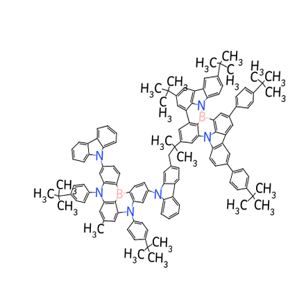 Cc1cc2c3c(c1)N(c1ccc(C(C)(C)C)cc1)c1cc(-n4c5ccccc5c5ccc(CC(C)(C)c6cc7c8c(c6)-n6c9ccc(-c%10ccc(C(C)(C)C)cc%10)cc9c9cc(-c%10ccc(C(C)(C)C)cc%10)cc(c96)B8n6c8ccc(C(C)(C)C)cc8c8cc(C(C)(C)C)cc-7c86)cc54)ccc1B3c1ccc(-n3c4ccccc4c4ccccc43)cc1N2c1ccc(C(C)(C)C)cc1